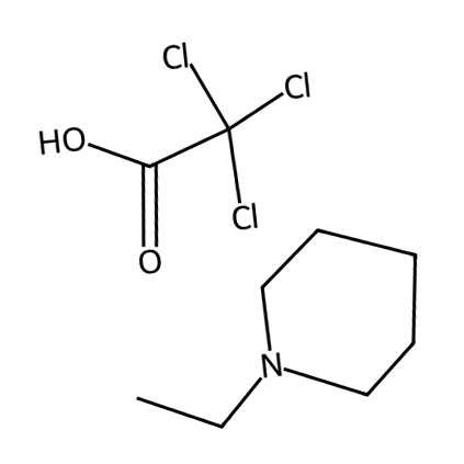 CCN1CCCCC1.O=C(O)C(Cl)(Cl)Cl